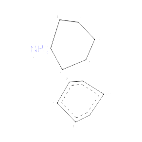 C1CCCCC1.N.c1ccccc1